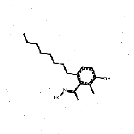 CCCCCCCCc1ccc(O)c(C)c1C(C)=NO